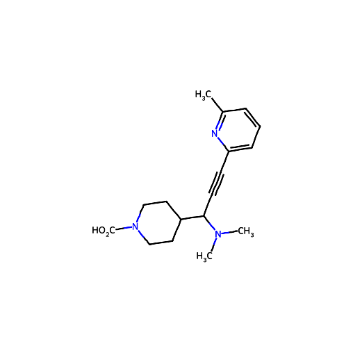 Cc1cccc(C#CC(C2CCN(C(=O)O)CC2)N(C)C)n1